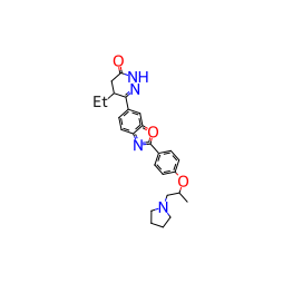 CCC1CC(=O)NN=C1c1ccc2nc(-c3ccc(OC(C)CN4CCCC4)cc3)oc2c1